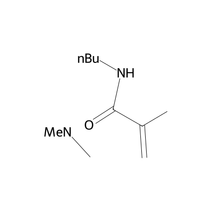 C=C(C)C(=O)NCCCC.CNC